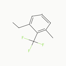 CCc1c[c]cc(C)c1C(F)(F)F